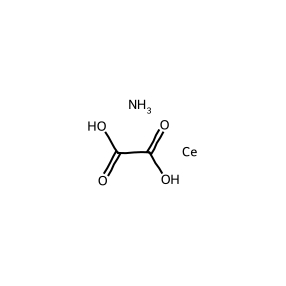 N.O=C(O)C(=O)O.[Ce]